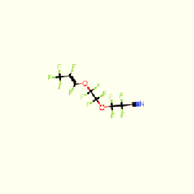 N#CC(F)(F)C(F)(F)OC(F)(F)C(F)(F)OC(F)=C(F)C(F)(F)F